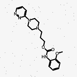 COc1ccccc1NC(=O)OCCCN1CCN(c2cccnn2)CC1